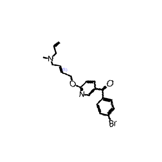 C=CCN(C)C/C=C/COc1ccc(C(=O)c2ccc(Br)cc2)cn1